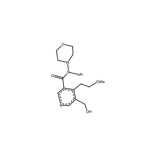 [CH2]CCN(C(=O)c1cncc(CO)c1CCOC)N1CCOCC1